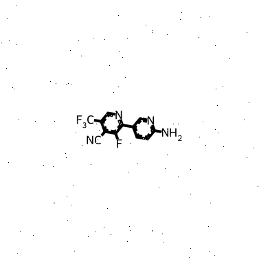 N#Cc1c(C(F)(F)F)cnc(-c2ccc(N)nc2)c1F